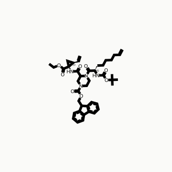 C=CCCCCC[C@H](NC(=O)OC(C)(C)C)C(=O)N1CCN(C(=O)OCC2c3ccccc3-c3ccccc32)CC1C(=O)N[C@]1(C(=O)OCC)C[C@H]1C=C